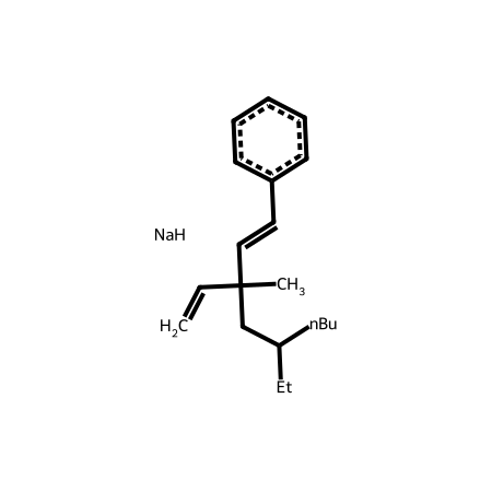 C=CC(C)(C=Cc1ccccc1)CC(CC)CCCC.[NaH]